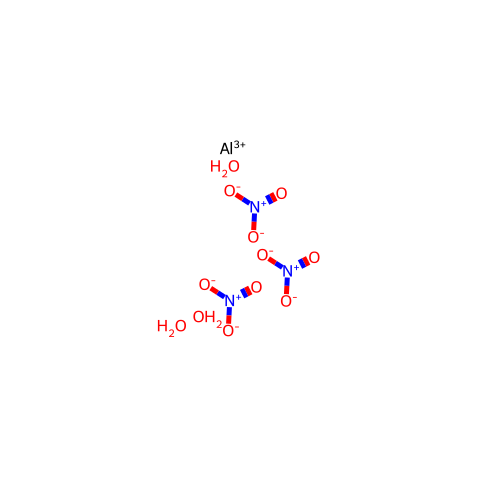 O.O.O.O=[N+]([O-])[O-].O=[N+]([O-])[O-].O=[N+]([O-])[O-].[Al+3]